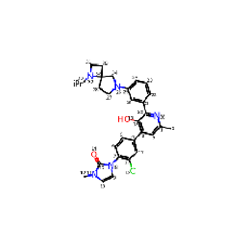 Cc1cc(-c2ccc(-n3ccn(C)c3=O)c(Cl)c2)c(O)c(-c2cccc(N3CCC4(CCN4C(C)C)C3)c2)n1